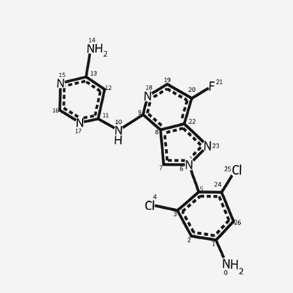 Nc1cc(Cl)c(-n2cc3c(Nc4cc(N)ncn4)ncc(F)c3n2)c(Cl)c1